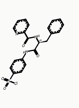 O=C(N[C@@H](Cc1ccccc1)C(=O)Nc1ccc(S(=O)(=O)Cl)cc1)c1ccccn1